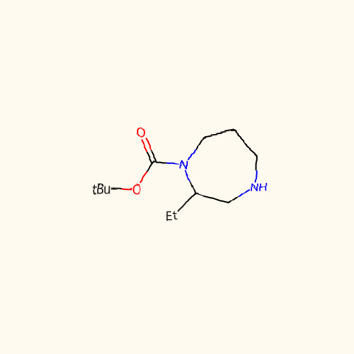 CCC1CNCCCN1C(=O)OC(C)(C)C